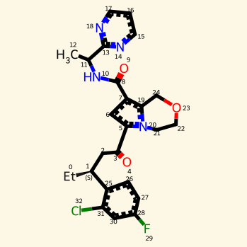 CC[C@@H](CC(=O)c1cc(C(=O)NC(C)c2ncccn2)c2n1CCOC2)c1ccc(F)cc1Cl